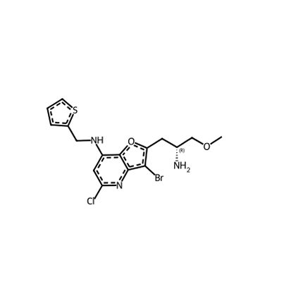 COC[C@H](N)Cc1oc2c(NCc3cccs3)cc(Cl)nc2c1Br